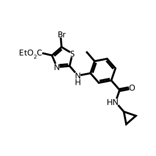 CCOC(=O)c1nc(Nc2cc(C(=O)NC3CC3)ccc2C)sc1Br